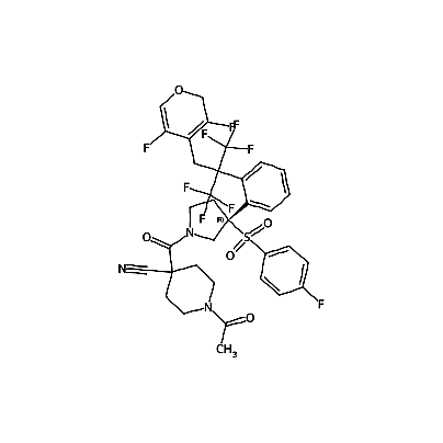 CC(=O)N1CCC(C#N)(C(=O)N2CC[C@](c3ccccc3C(CC3=C(F)COC=C3F)(C(F)(F)F)C(F)(F)F)(S(=O)(=O)c3ccc(F)cc3)C2)CC1